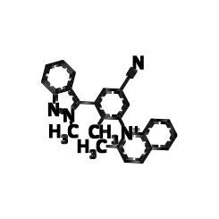 Cc1c(-c2c3ccccc3nn2C)cc(C#N)cc1-[n+]1c(C)ccc2ccccc21